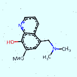 COc1cc(CN(C)C)c2cccnc2c1O